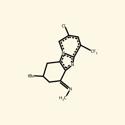 CN=C1CC(C(C)(C)C)Cc2c1nc1c(C(F)(F)F)cc(Cl)cn21